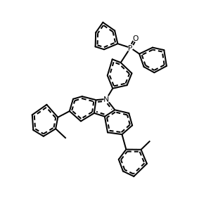 Cc1ccccc1-c1ccc2c(c1)c1cc(-c3ccccc3C)ccc1n2-c1ccc(P(=O)(c2ccccc2)c2ccccc2)cc1